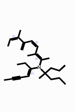 C=C(/C=C\C(C)=C(/C)N(/C(=C/C#CC)CC)C(C)(CCC)CCC)/C(C)=C\C